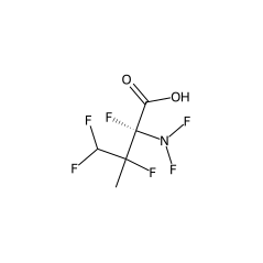 CC(F)(C(F)F)[C@@](F)(C(=O)O)N(F)F